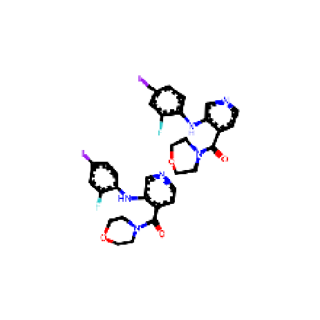 O=C(c1ccncc1Nc1ccc(I)cc1F)N1CCOCC1.O=C(c1ccncc1Nc1ccc(I)cc1F)N1CCOCC1